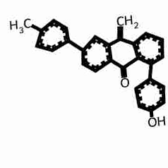 C=C1c2cc(-c3ccc(C)cc3)ccc2C(=O)c2c1cccc2-c1ccc(O)cc1